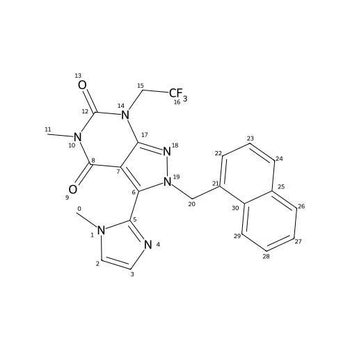 Cn1ccnc1-c1c2c(=O)n(C)c(=O)n(CC(F)(F)F)c2nn1Cc1cccc2ccccc12